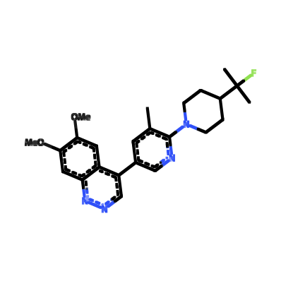 COc1cc2nncc(-c3cnc(N4CCC(C(C)(C)F)CC4)c(C)c3)c2cc1OC